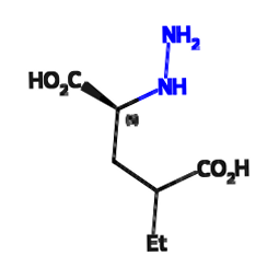 CCC(C[C@H](NN)C(=O)O)C(=O)O